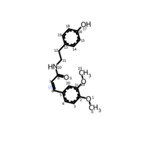 COc1ccc(/C=C\C(=O)NCCc2ccc(O)cc2)cc1OC